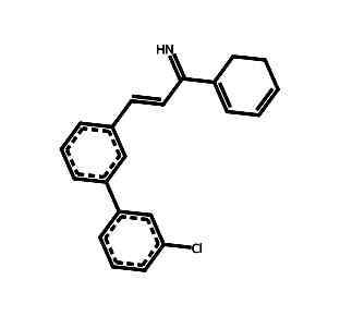 N=C(/C=C/c1cccc(-c2cccc(Cl)c2)c1)C1=CC=CCC1